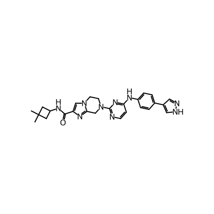 CC1(C)CC(NC(=O)c2cn3c(n2)CN(c2nccc(Nc4ccc(-c5cn[nH]c5)cc4)n2)CC3)C1